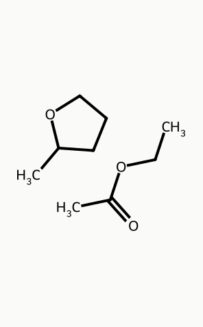 CC1CCCO1.CCOC(C)=O